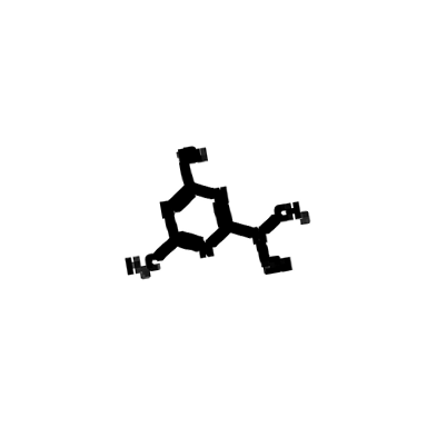 Cc1bc(C(C)(C)C)nc(N(C)C(C)(C)C)n1